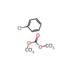 Clc1ccccc1.O=C(OC(Cl)(Cl)Cl)OC(Cl)(Cl)Cl